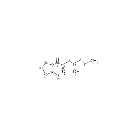 CCCC(O)CC(=O)NC1CCOC1=O